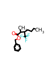 CCCCC(C(C)C(=O)OCc1ccccc1)C(F)(F)F